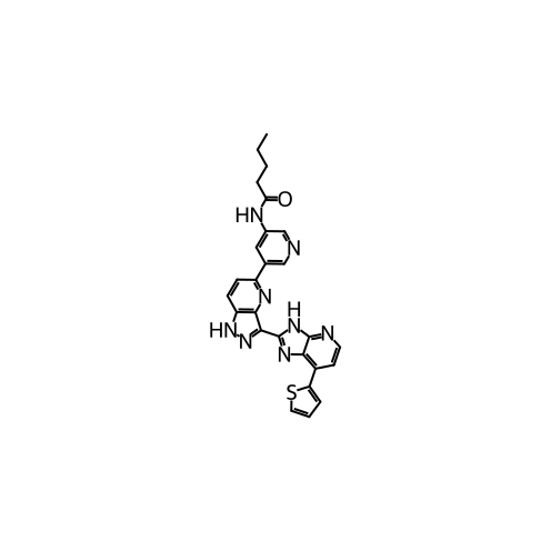 CCCCC(=O)Nc1cncc(-c2ccc3[nH]nc(-c4nc5c(-c6cccs6)ccnc5[nH]4)c3n2)c1